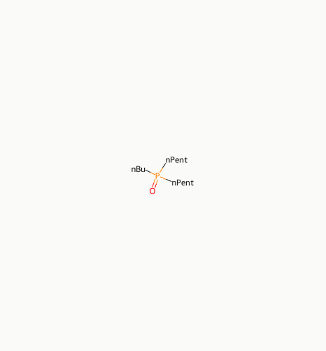 CCCCCP(=O)(CCCC)CCCCC